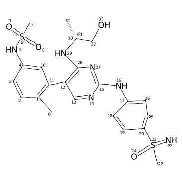 Cc1ccc(NS(C)(=O)=O)cc1-c1cnc(Nc2ccc(S(C)(=N)=O)cc2)nc1N[C@H](C)CO